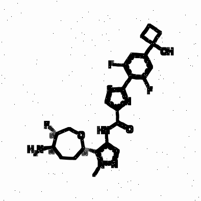 Cn1ncc(NC(=O)c2csc(-c3c(F)cc(C4(O)CCC4)cc3F)n2)c1[C@@H]1CC[C@@H](N)[C@H](F)CO1